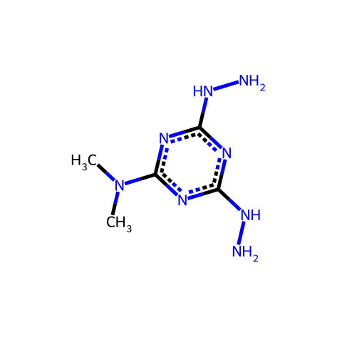 CN(C)c1nc(NN)nc(NN)n1